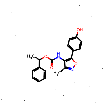 Cc1noc(-c2ccc(O)cc2)c1NC(=O)OC(C)c1ccccc1